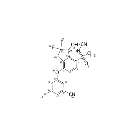 CS(=O)(=NC#N)c1ccc(Oc2cc(F)cc(C#N)c2)c2c1C(O)C(F)(F)C2